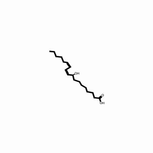 CCCCC/C=C\C=C/[C@@H](O)CCCCCCCC(=O)O